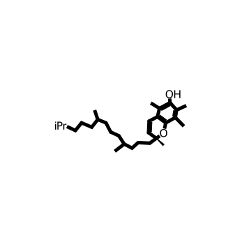 Cc1c(C)c2c(c(C)c1O)C=C[C@@](C)(CCCC(C)CCCC(C)CCCC(C)C)O2